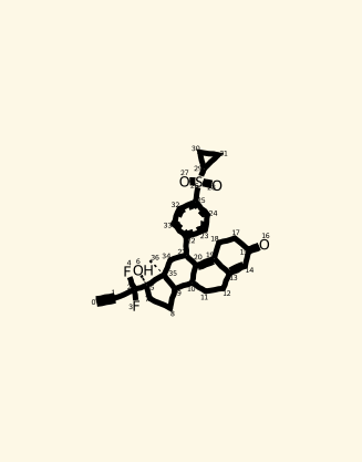 C#CC(F)(F)[C@]1(O)CCC2C3CCC4=CC(=O)CCC4=C3C(c3ccc(S(=O)(=O)C4CC4)cc3)C[C@@]21C